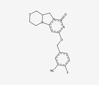 N#Cc1cc(COc2cc3n(c(=O)n2)CC2CSCCN32)ccc1F